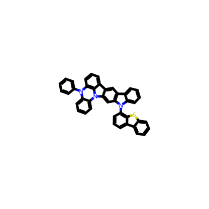 c1ccc(N2c3ccccc3-n3c4cc5c(cc4c4cccc2c43)c2ccccc2n5-c2cccc3c2sc2ccccc23)cc1